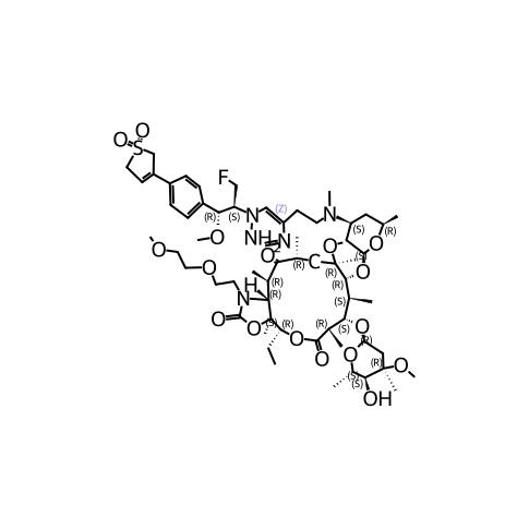 C=N/C(=C\N(N)[C@H](CF)[C@H](OC)c1ccc(C2=CCS(=O)(=O)C2)cc1)CCN(C)[C@@H]1C[C@H](O[C@@H]2[C@@H](C)[C@H](O[C@H]3C[C@@](C)(OC)[C@@H](O)[C@H](C)O3)[C@@H](C)C(=O)O[C@H](CC)[C@@]3(C)OC(=O)N(CCOCCOC)[C@@H]3[C@@H](C)C(=O)[C@H](C)C[C@@]2(C)OC)O[C@H](C)C1